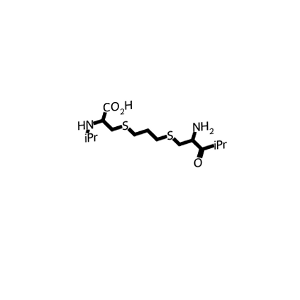 CC(C)NC(CSCCCSCC(N)C(=O)C(C)C)C(=O)O